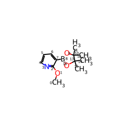 COc1ncccc1B1OC(C)(C)C(C)(C)O1